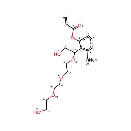 C=CC(=O)Oc1cccc(CCCCCCCCC)c1C(CO)OCCOCCOCCO